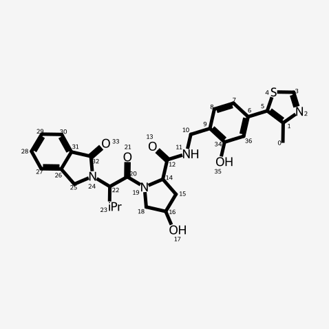 Cc1ncsc1-c1ccc(CNC(=O)C2CC(O)CN2C(=O)C(C(C)C)N2Cc3ccccc3C2=O)c(O)c1